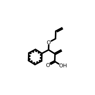 C=CCOC(C(=C)C(=O)O)c1ccccc1